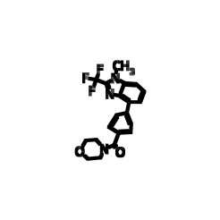 Cn1c(C(F)(F)F)nc2c(-c3ccc(C(=O)N4CCOCC4)cc3)cccc21